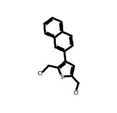 ClCc1cc(-c2ccc3ccccc3c2)c(CCl)s1